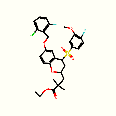 CCOC(=O)C(C)(C)CC1CC(S(=O)(=O)c2ccc(F)c(OC)c2)c2cc(OCc3c(F)cccc3Cl)ccc2O1